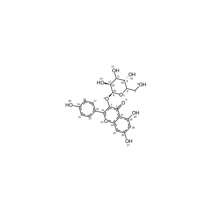 O=c1c(O[C@@H]2OC(CO)[C@@H](O)C(O)[C@@H]2O)c(-c2ccc(O)cc2)oc2cc(O)cc(O)c12